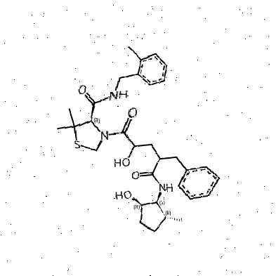 Cc1ccccc1CNC(=O)[C@H]1N(C(=O)C(O)CC(Cc2ccccc2)C(=O)N[C@H]2[C@H](C)CC[C@H]2O)CSC1(C)C